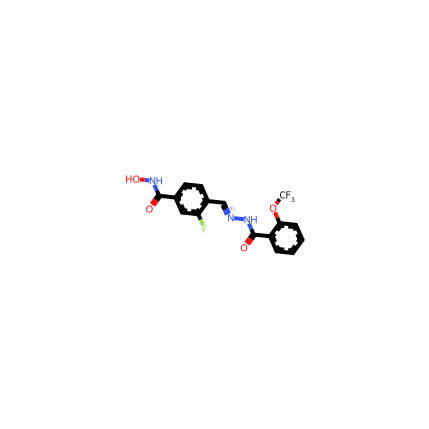 O=C(NO)c1ccc(/C=N/NC(=O)c2ccccc2OC(F)(F)F)c(F)c1